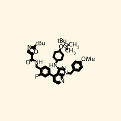 COc1ccc(Cn2nc(NC3CCC(O[Si](C)(C)C(C)(C)C)CC3)c3c(-c4ccc(CNC(=O)c5cnc(C(C)(C)C)o5)c(F)c4)ccnc32)cc1